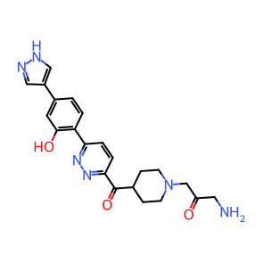 NCC(=O)CN1CCC(C(=O)c2ccc(-c3ccc(-c4cn[nH]c4)cc3O)nn2)CC1